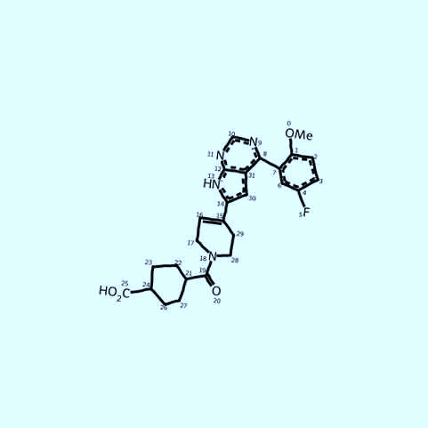 COc1ccc(F)cc1-c1ncnc2[nH]c(C3=CCN(C(=O)C4CCC(C(=O)O)CC4)CC3)cc12